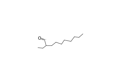 CCCCCCCCC([C]=O)CC